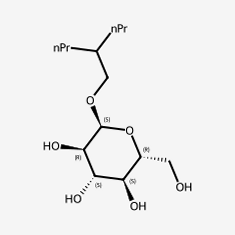 CCCC(CCC)CO[C@H]1O[C@H](CO)[C@@H](O)[C@H](O)[C@H]1O